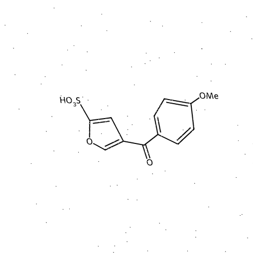 COc1ccc(C(=O)c2coc(S(=O)(=O)O)c2)cc1